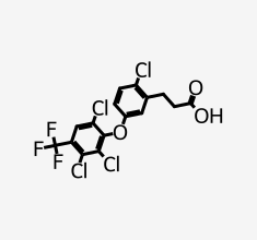 O=C(O)CCc1cc(Oc2c(Cl)cc(C(F)(F)F)c(Cl)c2Cl)ccc1Cl